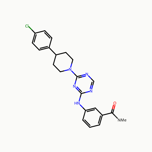 CNC(=O)c1cccc(Nc2ncnc(N3CCC(c4ccc(Cl)cc4)CC3)n2)c1